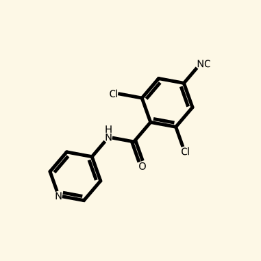 [C-]#[N+]c1cc(Cl)c(C(=O)Nc2ccncc2)c(Cl)c1